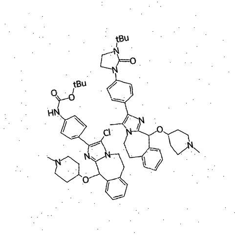 CN1CCC(OC2c3ccccc3CCn3c2nc(-c2ccc(NC(=O)OC(C)(C)C)cc2)c3Cl)CC1.Cc1c(-c2ccc(N3CCN(C(C)(C)C)C3=O)cc2)nc2n1CCc1ccccc1C2OC1CCN(C)CC1